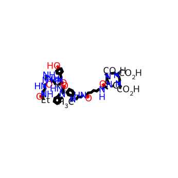 CCC(=O)NCCNC(=O)/N=C(/N)NCCC[C@@H](NC(=O)[C@H](c1cccc(N(C)CCCNC(=O)CCCCCNC(=O)CN2CCN(CC(=O)O)CCN(CC(=O)O)CCN(CC(=O)O)CC2)c1)N1Cc2ccccc2C1)C(=O)NCc1ccc(O)cc1